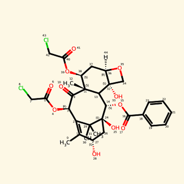 CC1=C2[C@@H](OC(=O)CCl)C(=O)[C@@]3(C)C([C@H](OC(=O)c4ccccc4)[C@](O)(C[C@@H]1O)C2(C)C)[C@]1(O)CO[C@@H]1C[C@@H]3OC(=O)CCl